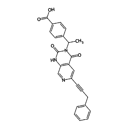 CC(c1ccc(C(=O)O)cc1)n1c(=O)[nH]c2cnc(C#CCc3ccccc3)cc2c1=O